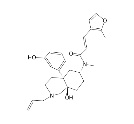 C=CCN1CC[C@@]2(c3cccc(O)c3)C[C@H](N(C)C(=O)/C=C/c3ccoc3C)CC[C@]2(O)C1